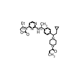 C=CC(=O)N1CCN(C(CC2CC2)c2ccc([C@H](C)Nc3nccc(N4C(=O)OC[C@@H]4CC)n3)cc2)CC1